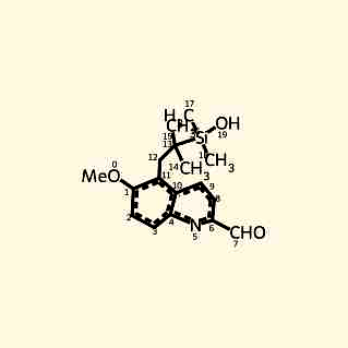 COc1ccc2nc(C=O)ccc2c1CC(C)(C)[Si](C)(C)O